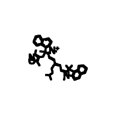 Cc1noc(C)c1CC1(C)C(/C=C/C(=C/C=C2/N(C)c3ccc4ccccc4c3C2(C)C)CCC(C)C)=[N+](C)c2ccc3ccccc3c21